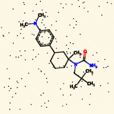 CN(C)c1ccc(C2CCCC(C)(N(CC(C)(C)C)C(N)=O)C2)cc1